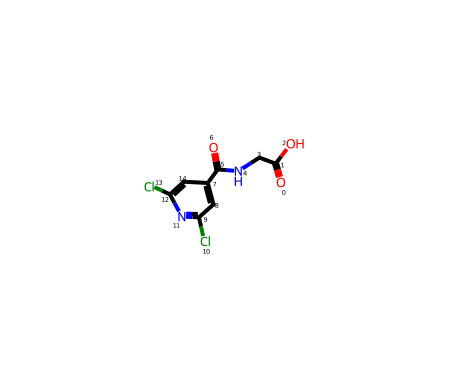 O=C(O)CNC(=O)c1cc(Cl)nc(Cl)c1